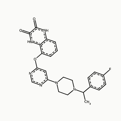 CC(c1ccc(F)cc1)N1CCN(c2cc(Oc3cccc4[nH]c(=O)c(=O)[nH]c34)ncn2)CC1